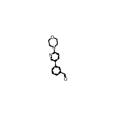 O=Cc1cccc(-c2ccc(N3CCOCC3)nc2)c1